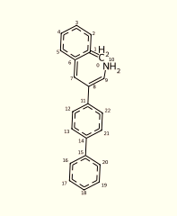 C=c1cccc/c1=C/C(=C\N)c1ccc(-c2ccccc2)cc1